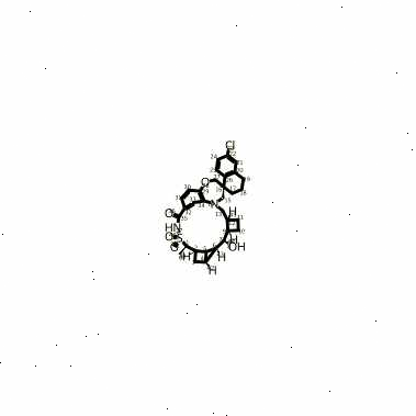 C[C@@H]1[C@@H]2C[C@@H]3C2[C@H]3[C@H](O)[C@@H]2CC[C@H]2CN2C[C@@]3(CCCc4cc(Cl)ccc43)COc3ccc(cc32)C(=O)NS1(=O)=O